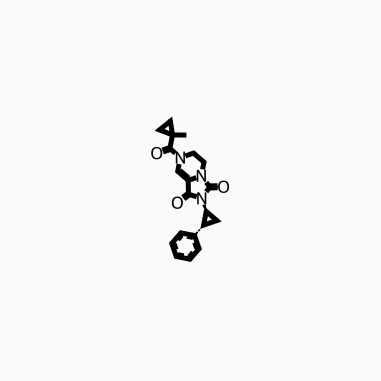 CC1(C(=O)N2C=C3C(=O)N([C@H]4C[C@@H]4c4ccccc4)C(=O)N3CC2)CC1